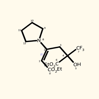 CCOC(=O)/C=C(\CC(O)(C(=O)OCC)C(F)(F)F)N1CCCC1